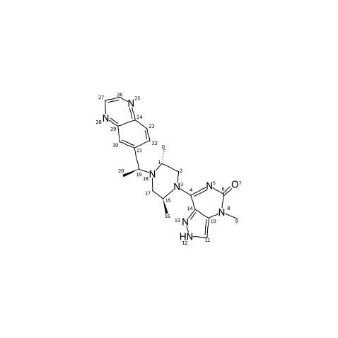 C[C@@H]1CN(c2nc(=O)n(C)c3c[nH]nc23)[C@@H](C)CN1[C@@H](C)c1ccc2nccnc2c1